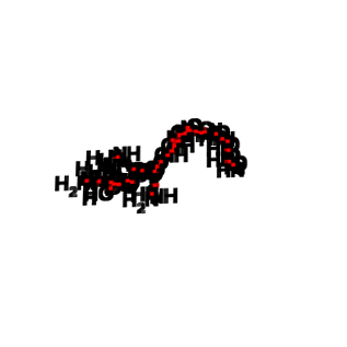 CCNC(=O)c1nc(NC(=O)CCNC(=O)c2cc(NC(=O)c3nc(NC(=O)CCNC(=O)c4cc(NC(=O)c5nc(NC(=O)CCNC(=O)COCCOP(=O)(OCCCCCCNC(=N)N)OCCOP(=O)(OCCCCCCNC(=N)N)OCCOP(=O)(OCCCCCCNC(=N)N)OCCOP(OCCO)OCCCCCCNC(=N)N)cn5C)cn4C)cn3C)cn2C)cn1C